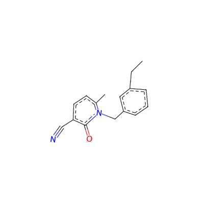 CCc1cccc(Cn2c(C)ccc(C#N)c2=O)c1